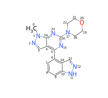 Cn1ncc2c(-c3cccc4[nH]ncc34)nc(N3CCOCC3)nc21